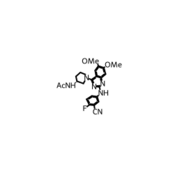 COc1cc2nc(Nc3ccc(F)c(C#N)c3)nc(N3CCC[C@@H](NC(C)=O)C3)c2cc1OC